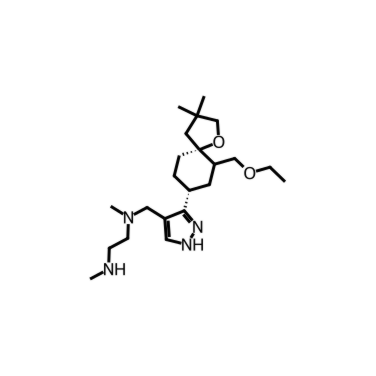 CCOCC1C[C@H](c2n[nH]cc2CN(C)CCNC)CC[C@@]12CC(C)(C)CO2